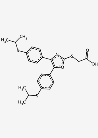 CC(C)Sc1ccc(-c2nc(SCC(=O)O)oc2-c2ccc(SC(C)C)cc2)cc1